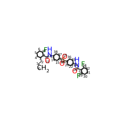 C=CCc1cccc(F)c1C(=O)Nc1ccc(S(=O)(=O)c2ccc(NC(=O)c3c(F)cccc3F)cc2)cc1